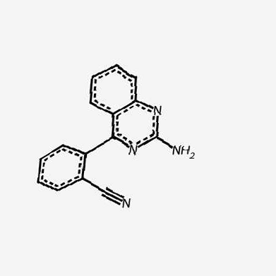 N#Cc1ccccc1-c1nc(N)nc2ccccc12